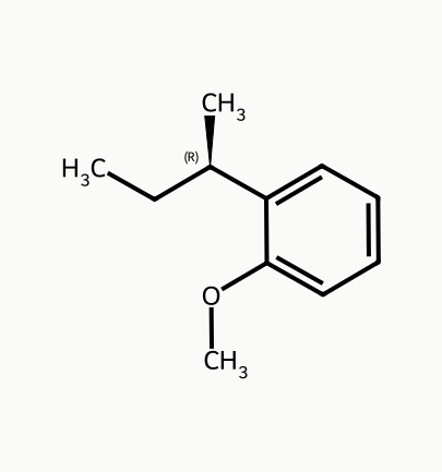 CC[C@@H](C)c1ccccc1OC